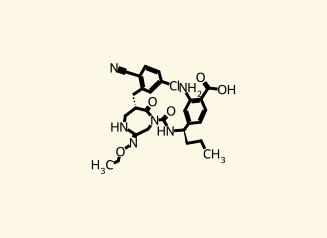 CCC[C@@H](NC(=O)N1C/C(=N/OCC)NC[C@H](Cc2cc(Cl)ccc2C#N)C1=O)c1ccc(C(=O)O)c(N)c1